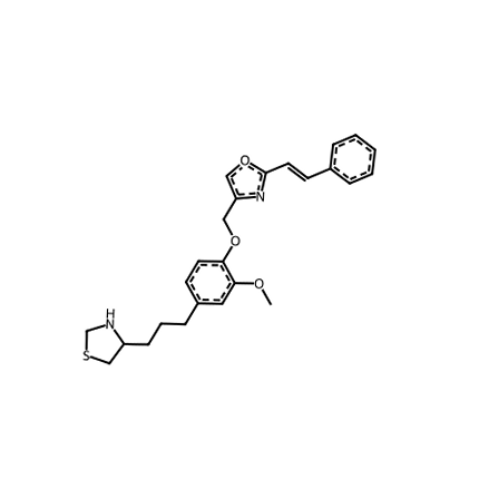 COc1cc(CCCC2CSCN2)ccc1OCc1coc(C=Cc2ccccc2)n1